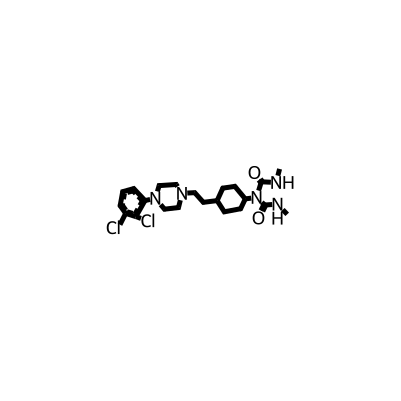 CNC(=O)N(C(=O)NC)C1CCC(CCN2CCN(c3cccc(Cl)c3Cl)CC2)CC1